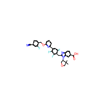 CC1(C)COCC1n1c(Cc2c(F)cc(-c3cccc(OCc4ccc(C#N)cc4F)n3)c(F)c2F)nc2ccc(C(=O)O)cc21